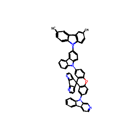 N#Cc1ccc2c(c1)c1cc(C#N)ccc1n2-c1ccc2c(c1)c1ccccc1n2-c1ccc2c(c1)C1(c3cc(-n4c5ccccc5c5ccncc54)ccc3O2)c2cccnc2-c2ncccc21